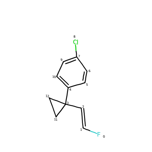 FC=CC1(c2ccc(Cl)cc2)CC1